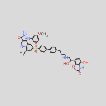 COc1cccc(Nc2c(C(N)=O)cnc3c(C)cc(S(=O)(=O)c4ccc(-c5ccc(CCCNCC(O)c6ccc(O)c7c6OCC(=O)N7)cc5)cc4)cc23)c1